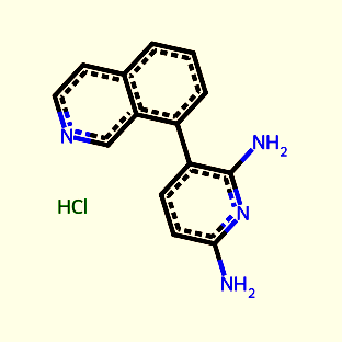 Cl.Nc1ccc(-c2cccc3ccncc23)c(N)n1